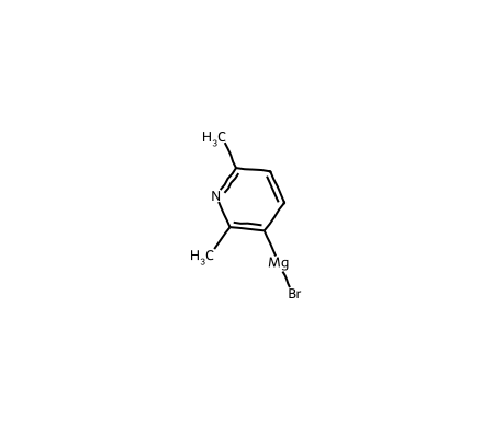 Cc1cc[c]([Mg][Br])c(C)n1